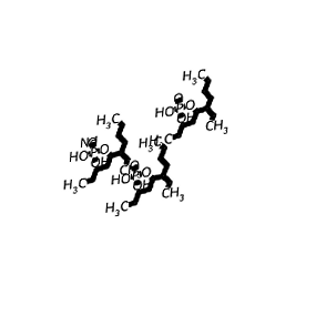 CCCCC(CC)C(CCCC)OP(=O)(O)O.CCCCC(CC)C(CCCC)OP(=O)(O)O.CCCCC(CC)C(CCCC)OP(=O)(O)O.[Nd]